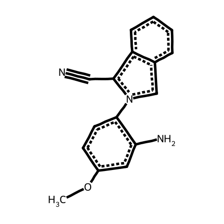 COc1ccc(-n2cc3ccccc3c2C#N)c(N)c1